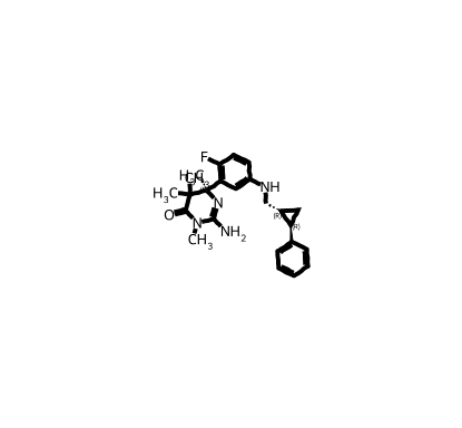 CN1C(=O)C(C)(C)[C@@](C)(c2cc(NC[C@@H]3C[C@H]3c3ccccc3)ccc2F)N=C1N